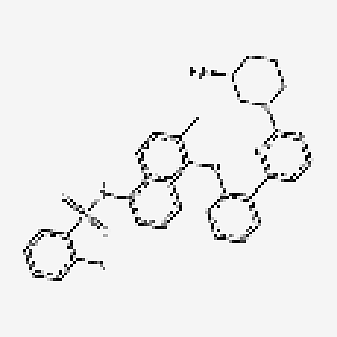 Cc1ccc2c(NS(=O)(=O)c3ccccc3Cl)cccc2c1Oc1ncccc1-c1ccnc(N2CCC[C@H](N)C2)n1